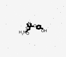 NC(=O)c1cc2c(COc3ccc(CO)cc3)cncc2s1